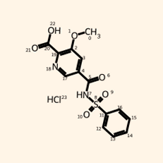 COc1cc(C(=O)NS(=O)(=O)c2ccccc2)cnc1C(=O)O.Cl